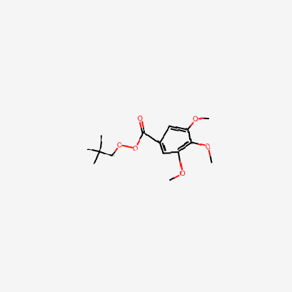 COc1cc(C(=O)OO[CH]C(C)(C)C)cc(OC)c1OC